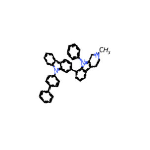 CN1C=Cc2c(n(-c3ccccc3)c3c(-c4ccc5c6ccccc6n(-c6ccc(-c7ccccc7)cc6)c5c4)cccc23)C1